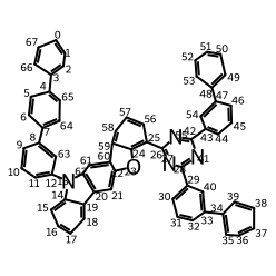 c1ccc(-c2ccc(-c3cccc(-n4c5ccccc5c5cc6oc7c(-c8nc(-c9cccc(-c%10ccccc%10)c9)nc(-c9cccc(-c%10ccccc%10)c9)n8)cccc7c6cc54)c3)cc2)cc1